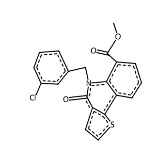 COC(=O)c1cccc2c3sccc3c(=O)n(Cc3cccc(Cl)c3)c12